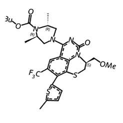 COC[C@H]1CSc2c(-c3ccc(C)s3)c(C(F)(F)F)cc3c(N4C[C@@H](C)N(C(=O)OC(C)(C)C)[C@H](C)C4)nc(=O)n1c23